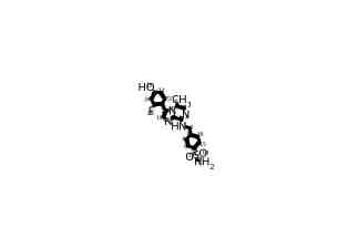 Cc1cnc(NCc2ccc(S(N)(=O)=O)cc2)c2ncc(-c3ccc(O)cc3F)n12